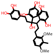 COc1ccc(CCC(c2cc(O)ccc2O)C(O)(CCc2ccc(O)c(O)c2)c2ccc(O)cc2O)c(OC)c1C